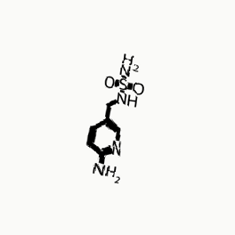 Nc1ccc(CNS(N)(=O)=O)cn1